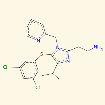 CC(C)c1nc(CCN)n(Cc2ccccn2)c1Sc1cc(Cl)cc(Cl)c1